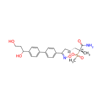 C[C@@](C[C@H]1CC(c2ccc(-c3ccc(C(O)CCO)cc3)cc2)=NO1)(C(N)=O)S(C)(=O)=O